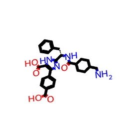 NCC1CCC(C(=O)N[C@@H](Cc2ccccc2)c2nc(-c3ccc(C(=O)O)cc3)c(C(=O)O)[nH]2)CC1